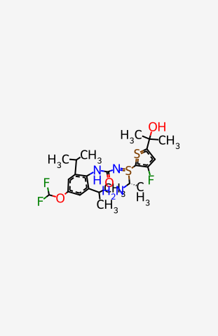 CC(C)c1cc(OC(F)F)cc(C(C)C)c1NC(=O)/N=S(/c1sc(C(C)(C)O)cc1F)[C@H](C)N